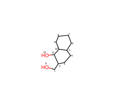 OCC1CCC2CCCCC2C1O